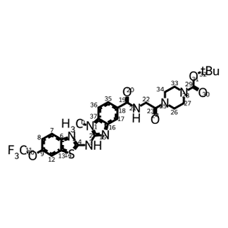 Cn1c(Nc2nc3ccc(OC(F)(F)F)cc3s2)nc2cc(C(=O)NCC(=O)N3CCN(C(=O)OC(C)(C)C)CC3)ccc21